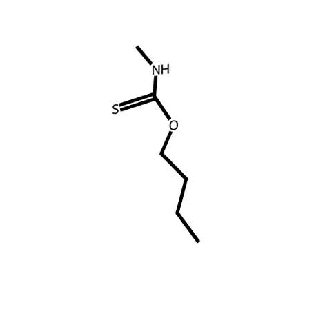 CCCCOC(=S)NC